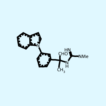 CNC(=N)NC(C)(C=O)c1cccc(-n2ccc3ccccc32)c1